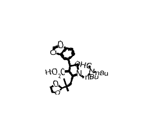 CCCCN(C=O)CCCC.CN1CC(c2ccc3c(c2)OCO3)C(C(=O)O)C1CC(C)(C)C1OCCO1